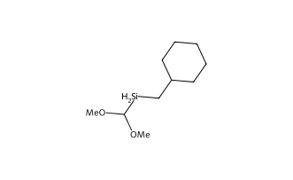 COC(OC)[SiH2]CC1CCCCC1